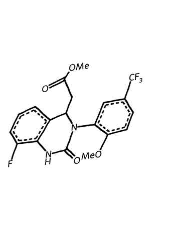 COC(=O)CC1c2cccc(F)c2NC(=O)N1c1cc(C(F)(F)F)ccc1OC